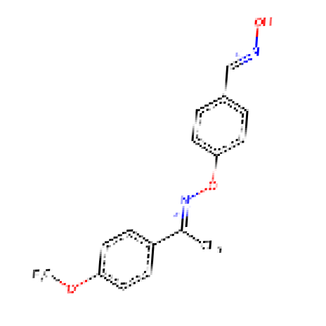 C/C(=N\Oc1ccc(/C=N/O)cc1)c1ccc(OC(F)(F)F)cc1